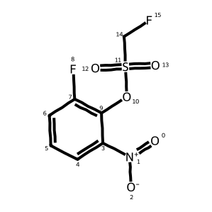 O=[N+]([O-])c1cccc(F)c1OS(=O)(=O)CF